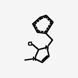 CN1C=CN(Cc2ccccc2)C1Cl